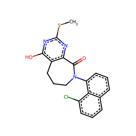 CSc1nc(O)c2c(n1)C(=O)N(c1cccc3cccc(Cl)c13)CCC2